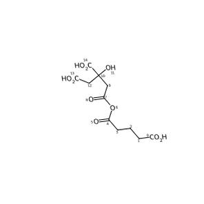 O=C(O)CCCC(=O)OC(=O)CC(O)(CC(=O)O)C(=O)O